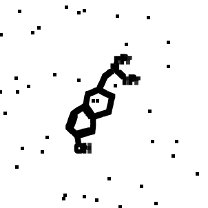 CCCN(CCC)CC1CCc2cc(O)ccc2C1